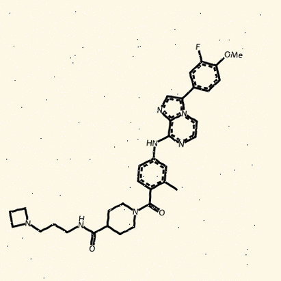 COc1ccc(-c2cnc3c(Nc4ccc(C(=O)N5CCC(C(=O)NCCCN6CCC6)CC5)c(C)c4)nccn23)cc1F